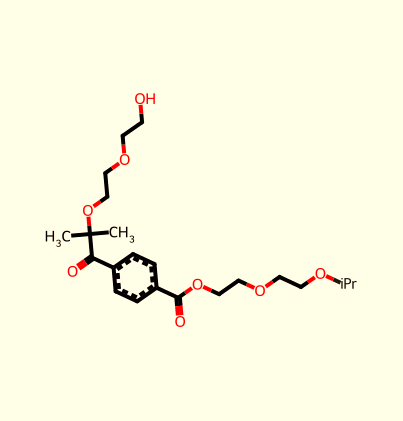 CC(C)OCCOCCOC(=O)c1ccc(C(=O)C(C)(C)OCCOCCO)cc1